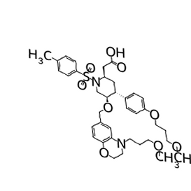 COCCCOc1ccc([C@H]2C[C@H](CC(=O)O)N(S(=O)(=O)c3ccc(C)cc3)C[C@@H]2OCc2ccc3c(c2)N(CCCOC)CCO3)cc1